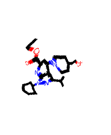 CCOC(=O)c1cc(N2CCC(CO)CC2)c2c(C(C)C)nn(C3CCCCC3)c2n1